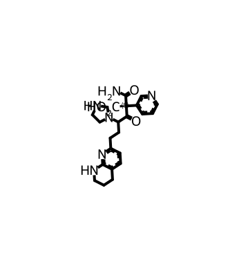 NC(=O)[C@@](C(=O)O)(C(=O)C(CCc1ccc2c(n1)NCCC2)N1CCNC1)c1cccnc1